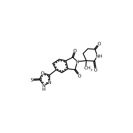 CC1(N2C(=O)c3ccc(-c4n[nH]c(=S)o4)cc3C2=O)CCC(=O)NC1=O